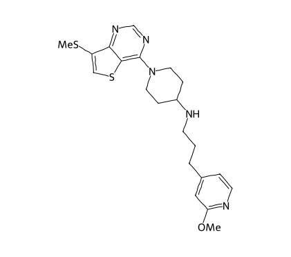 COc1cc(CCCNC2CCN(c3ncnc4c(SC)csc34)CC2)ccn1